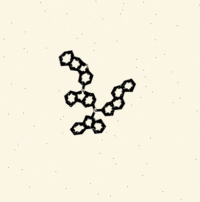 c1ccc2cc3c(cc2c1)sc1ccc(-n2c4ccccc4c4cc(N(c5ccc6ccc7c8ccccc8ccc7c6c5)c5cc6ccccc6c6ccccc56)ccc42)cc13